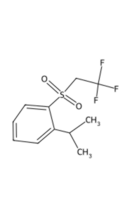 CC(C)c1ccccc1S(=O)(=O)CC(F)(F)F